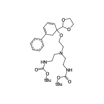 CC(C)(C)OC(=O)NCCN(CCNC(=O)OC(C)(C)C)CCOC1(C2OCCO2)C=CC=C(c2ccccc2)C1